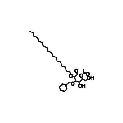 CCCCCCCCCCCCCCCCCCOC(C=O)C(OCc1ccccc1)C(O)C(CO)OC(C)=O